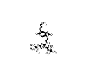 C=CCON1C(=O)N2Cc3c(sc(=O)n3CCNC(=NC(=O)OC(C)(C)C)NC(=O)OC(C)(C)C)C1C2